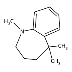 CN1CCCC(C)(C)c2ccccc21